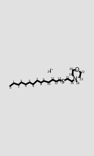 CCCCCCCCCCCCCCSCC[N+]1(C)CCOCC1.[I-]